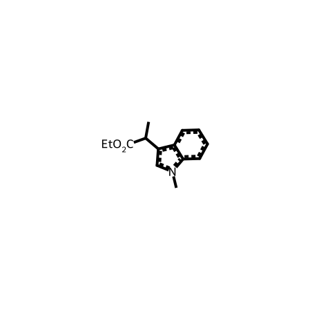 CCOC(=O)C(C)c1cn(C)c2ccccc12